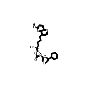 COc1ccc2nccc(CCCC[C@H](O)[C@@H]3CN(C4=COC=C(C5=CC=CCC5)O4)C(=O)O3)c2n1